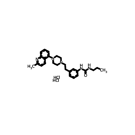 CCCNC(=O)Nc1cccc(CCN2CCN(c3cccc4nc(C)ccc34)CC2)c1.Cl.Cl